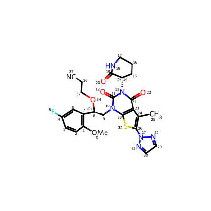 COc1ccc(F)cc1[C@H](Cn1c(=O)n([C@H]2CCCNC2=O)c(=O)c2c(C)c(-n3nccn3)sc21)OCCC#N